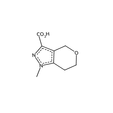 Cn1nc(C(=O)O)c2c1CCOC2